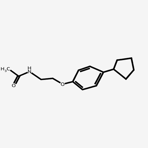 CC(=O)NCCOc1ccc(C2CCCC2)cc1